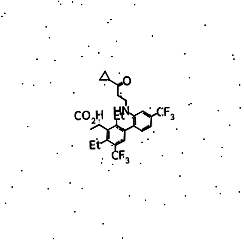 CCc1c(-c2ccc(C(F)(F)F)cc2NCCC(=O)C2CC2)cc(C(F)(F)F)c(CC)c1[C@H](C)C(=O)O